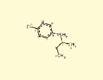 CC[C@H](C)[SiH2]c1ccc(Cl)cc1